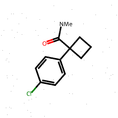 CNC(=O)C1(c2ccc(Cl)cc2)CCC1